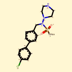 CCCCCCS(=O)(=O)N(Cc1ccc(-c2ccc(Cl)cc2)cc1)N1CCNCC1